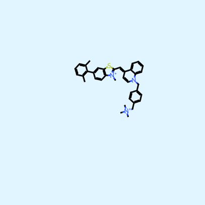 Cc1cccc(C)c1-c1ccc2c(c1)sc(C=C1C=CN(Cc3ccc(C[N+](C)(C)C)cc3)c3ccccc31)[n+]2C